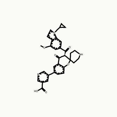 COc1cc(C(=O)[C@@H]2C(=O)c3cc(-c4cncc(C(=O)O)c4)ccc3OC23CCNCC3)cc2c1ccn2C1CC1